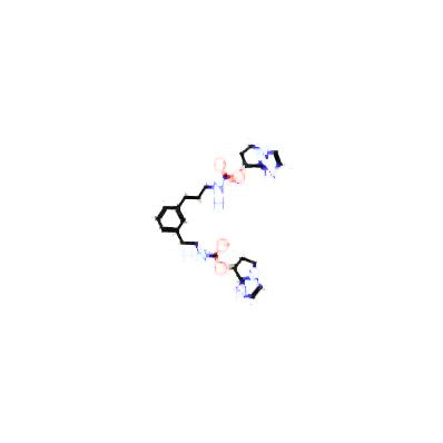 O=C(NCCCc1cccc(CCNC(=O)O[C@@H]2CCn3ccnc32)c1)O[C@@H]1CCn2ccnc21